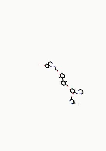 Cc1c(COc2cc(OCc3cncc(C#N)c3)c(CN3CCCCC3)cc2Cl)cccc1-c1cccc(OCCCN2CCCC3(CCC(O)C3)C2)c1C